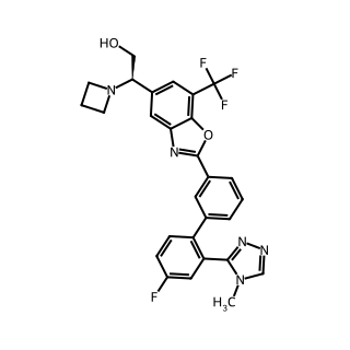 Cn1cnnc1-c1cc(F)ccc1-c1cccc(-c2nc3cc([C@H](CO)N4CCC4)cc(C(F)(F)F)c3o2)c1